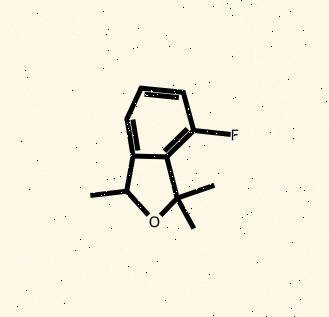 CC1OC(C)(C)c2c(F)cccc21